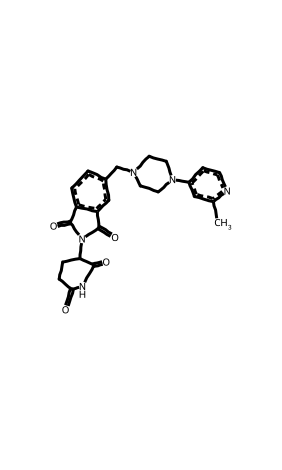 Cc1cc(N2CCN(Cc3ccc4c(c3)C(=O)N(C3CCC(=O)NC3=O)C4=O)CC2)ccn1